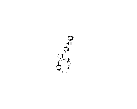 COc1ccc(Cn2nc(NC3CCN(C(=O)OC(C)(C)C)C3)c3c(Oc4ccc(C(=O)Nc5cc(C(F)(F)F)ccn5)cc4)ccnc32)cc1